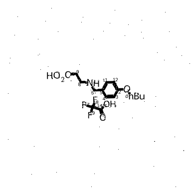 CCCCOc1ccc(CNCCC(=O)O)cc1.O=C(O)C(F)(F)F